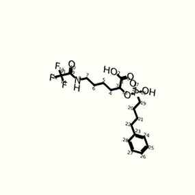 O=C(O)C(CCCCNC(=O)C(F)(F)F)OP(=O)(O)CCCCc1ccccc1